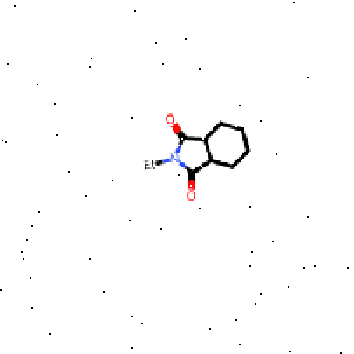 CCN1C(=O)C2CCCCC2C1=O